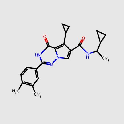 Cc1ccc(-c2nn3cc(C(=O)NC(C)C4CC4)c(C4CC4)c3c(=O)[nH]2)cc1C